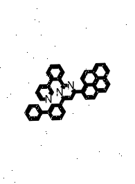 c1ccc(-c2cccc(-c3cc(-c4ccc5ccc6cccc7ccc4c5c67)nc(-c4ccccc4-c4cccnc4)n3)c2)cc1